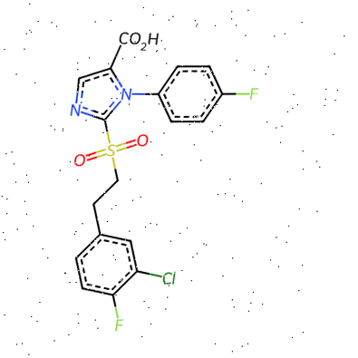 O=C(O)c1cnc(S(=O)(=O)CCc2ccc(F)c(Cl)c2)n1-c1ccc(F)cc1